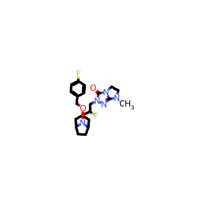 CN1CCn2c1nn(CC(F)CN1C3CCC1CC(OCc1ccc(F)cc1)C3)c2=O